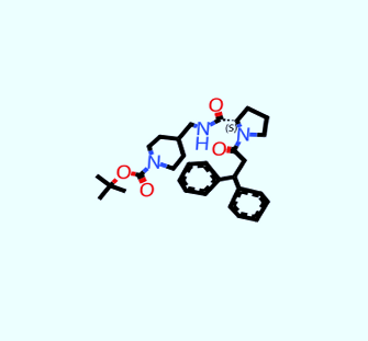 CC(C)(C)OC(=O)N1CCC(CNC(=O)[C@@H]2CCCN2C(=O)CC(c2ccccc2)c2ccccc2)CC1